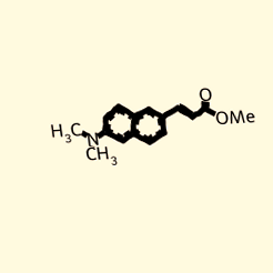 COC(=O)C=Cc1ccc2cc(N(C)C)ccc2c1